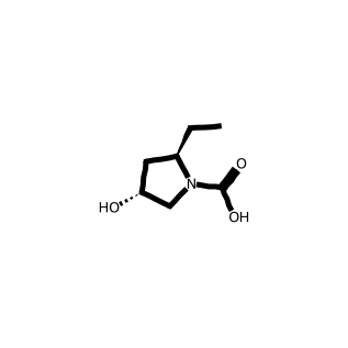 CC[C@@H]1C[C@@H](O)CN1C(=O)O